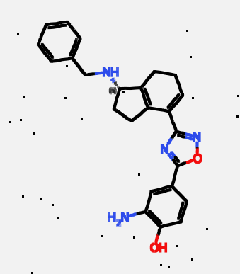 Nc1cc(-c2nc(C3=CCCC4=C3CC[C@@H]4NCc3ccccc3)no2)ccc1O